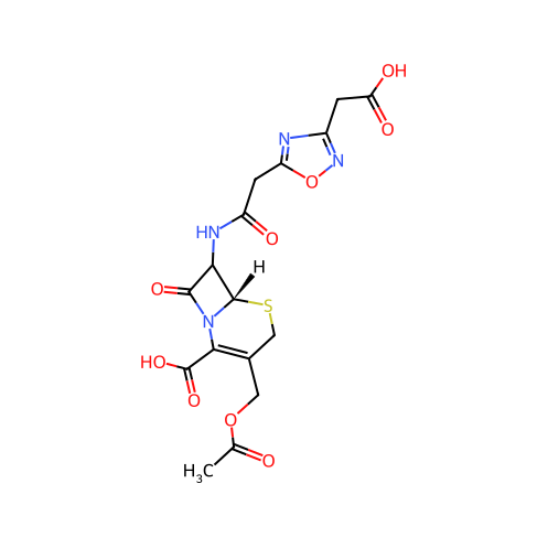 CC(=O)OCC1=C(C(=O)O)N2C(=O)C(NC(=O)Cc3nc(CC(=O)O)no3)[C@@H]2SC1